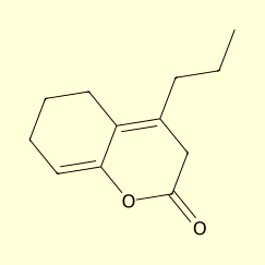 CCCC1=C2CCCC=C2OC(=O)C1